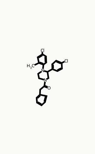 Cc1cc(Cl)ccc1N1CCN(C(=O)Cc2ccccc2)CC1c1ccc(Cl)cc1